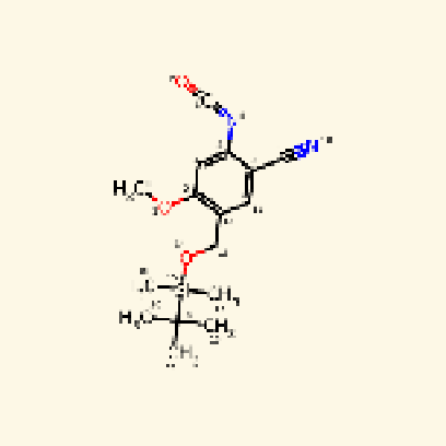 COc1cc(N=C=O)c(C#N)cc1CO[Si](C)(C)C(C)(C)C